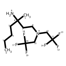 CCCCC(C)(N)CCN(CC(F)(F)F)CC(F)(F)F